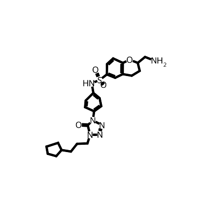 NCC1CCc2cc(S(=O)(=O)Nc3ccc(-n4nnn(CCCC5CCCC5)c4=O)cc3)ccc2O1